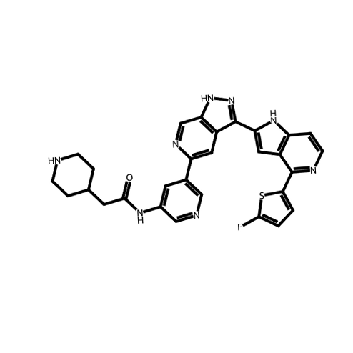 O=C(CC1CCNCC1)Nc1cncc(-c2cc3c(-c4cc5c(-c6ccc(F)s6)nccc5[nH]4)n[nH]c3cn2)c1